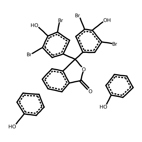 O=C1OC(c2cc(Br)c(O)c(Br)c2)(c2cc(Br)c(O)c(Br)c2)c2ccccc21.Oc1ccccc1.Oc1ccccc1